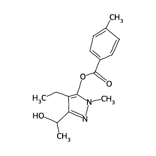 CCc1c(C(C)O)nn(C)c1OC(=O)c1ccc(C)cc1